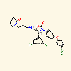 O=C1CCCN1CCCNC[C@@H]1OC(=O)N(c2ccc(Oc3ccc(Cl)cc3)cc2)[C@H]1c1cc(F)cc(F)c1